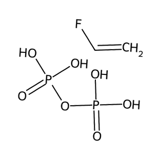 C=CF.O=P(O)(O)OP(=O)(O)O